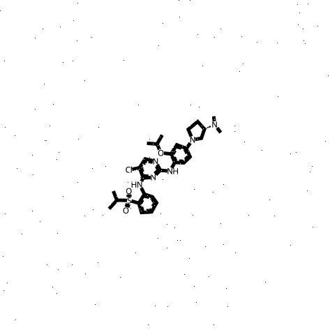 CC(C)Oc1cc(N2CC[C@H](N(C)C)C2)ccc1Nc1ncc(Cl)c(Nc2ccccc2S(=O)(=O)C(C)C)n1